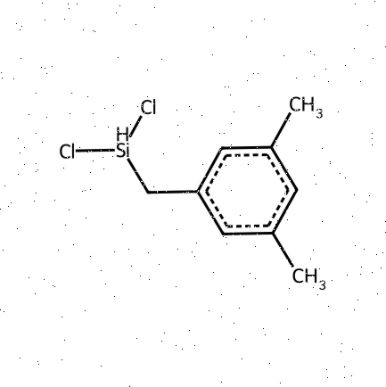 Cc1cc(C)cc(C[SiH](Cl)Cl)c1